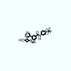 O=C(Nc1ccc(OC(F)(F)Cl)cc1)c1cc(-c2cncnc2)c2c(c1)ncn2C1CC(O)C1